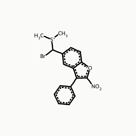 C[S+](C)C(Br)c1ccc2oc([N+](=O)[O-])c(-c3ccccc3)c2c1